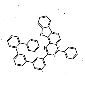 c1ccc(-c2ccccc2-c2cccc(-c3cccc(-c4nc(-c5ccccc5)c5ccc6c7ccccc7oc6c5n4)c3)c2)cc1